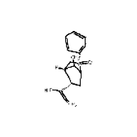 C=C(C)[C@H]1CC2C(C)[C@H]1C[P@]2(=O)c1ccccc1